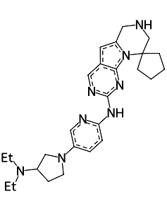 CCN(CC)C1CCN(c2ccc(Nc3ncc4cc5n(c4n3)C3(CCCC3)CNC5)nc2)C1